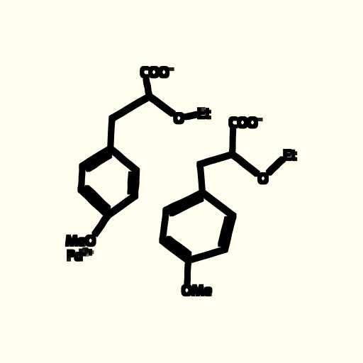 CCOC(Cc1ccc(OC)cc1)C(=O)[O-].CCOC(Cc1ccc(OC)cc1)C(=O)[O-].[Pd+2]